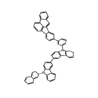 C1=Cc2c(n(-c3cccc(-c4ccc5c(c4)-c4cc6ccccc6c6cccc-5c46)c3)c3ccc(-c4ccc5c(c4)c4ccccc4n5C4C=c5ccccc5=CC4)cc23)CC1